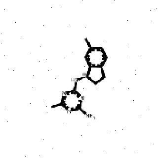 Cc1ccc2c(c1)[C@H](Nc1nc(C)nc(N)n1)CC2